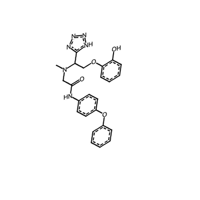 CN(CC(=O)Nc1ccc(Oc2ccccc2)cc1)C(COc1ccccc1O)c1nnn[nH]1